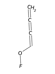 C=C=C=COF